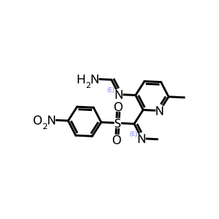 C/N=C(\c1nc(C)ccc1/N=C/N)S(=O)(=O)c1ccc([N+](=O)[O-])cc1